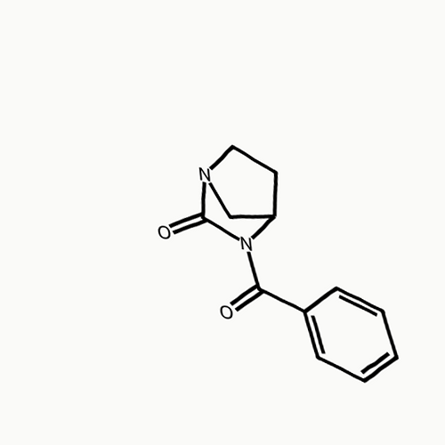 O=C(c1ccccc1)N1C(=O)N2CCC1C2